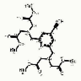 C#Cc1cc(CN(CC(=O)OC(C)(C)C)CC(=O)OC(C)(C)C)nc(CN(CC(=O)OC(C)(C)C)CC(=O)OC(C)(C)C)c1